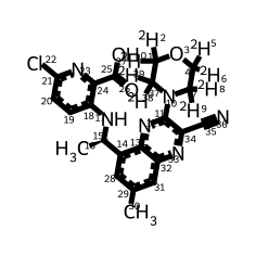 [2H]C1([2H])OC([2H])([2H])C([2H])([2H])N(c2nc3c([C@@H](C)Nc4ccc(Cl)nc4C(=O)O)cc(C)cc3nc2C#N)C1([2H])[2H]